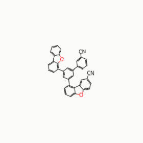 N#Cc1cccc(-c2cc(-c3cccc4c3oc3ccccc34)cc(-c3cccc4oc5ccc(C#N)cc5c34)c2)c1